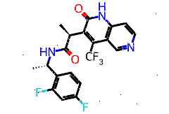 C[C@H](NC(=O)[C@@H](C)c1c(C(F)(F)F)c2cnccc2[nH]c1=O)c1ccc(F)cc1F